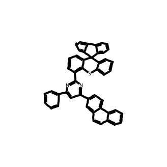 c1ccc(-c2cc(-c3ccc4c(ccc5ccccc54)c3)nc(-c3cccc4c3Sc3ccccc3C43c4ccccc4-c4ccccc43)n2)cc1